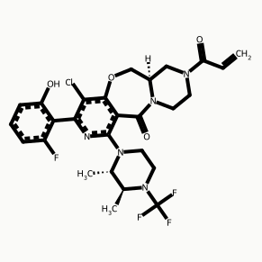 C=CC(=O)N1CCN2C(=O)c3c(N4CCN(C(F)(F)F)[C@@H](C)[C@@H]4C)nc(-c4c(O)cccc4F)c(Cl)c3OC[C@H]2C1